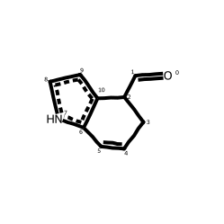 O=CC1CC=Cc2[nH]ccc21